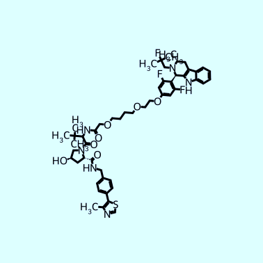 Cc1ncsc1-c1ccc(CNC(=O)[C@@H]2C[C@@H](O)CN2C(=O)C(NC(=O)COCCCCOCCOc2cc(F)c([C@@H]3c4[nH]c5ccccc5c4C[C@@H](C)N3CC(C)(C)F)c(F)c2)C(C)(C)C)cc1